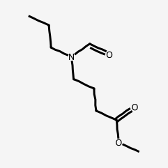 CCCN(C=O)CCCC(=O)OC